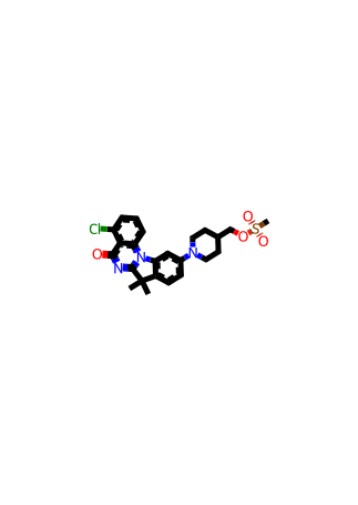 CC1(C)c2ccc(N3CCC(COS(C)(=O)=O)CC3)cc2-n2c1nc(=O)c1c(Cl)cccc12